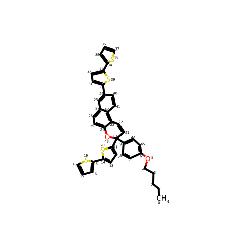 CCCCCOc1ccc(C2(c3ccc(-c4cccs4)s3)C=Cc3c(ccc4cc(-c5ccc(-c6cccs6)s5)ccc34)O2)cc1